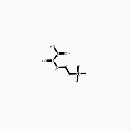 C[N+](C)(C)CCOS(=O)S(=O)O